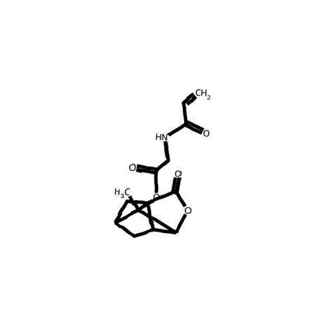 C=CC(=O)NCC(=O)OC1(C)C2CC3C(=O)OC1C3C2